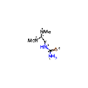 CNC(CNC(N)=S)NC